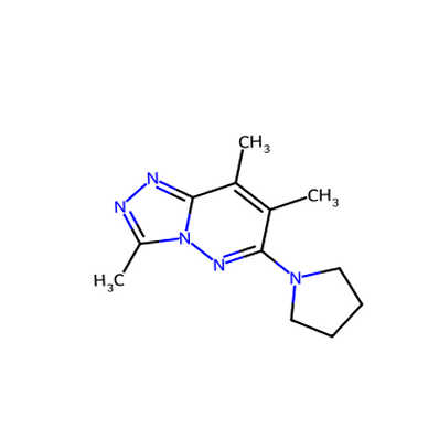 Cc1c(N2CCCC2)nn2c(C)nnc2c1C